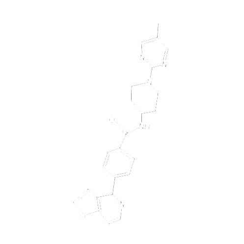 Cc1cnc(N2CCC(NC(=O)c3ccc(-c4nccc5occc45)cc3)CC2)nc1